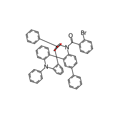 O=C(c1ccccc1Br)N1c2ccc(-c3ccccc3)cc2C2(c3ccccc3N(c3ccccc3)c3ccccc32)C2C=C(c3ccccc3)C=CC21